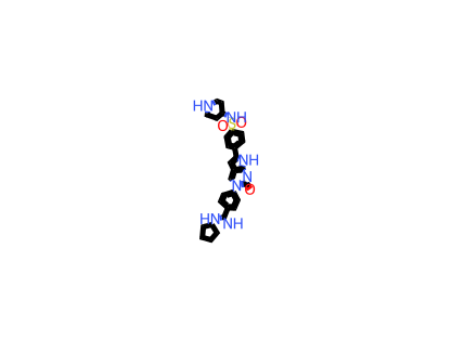 N=C(NC1CCCC1)c1ccc(-n2cc3cc(-c4ccc(S(=O)(=O)NC5CCNCC5)cc4)[nH]c3nc2=O)cc1